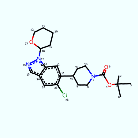 CC(C)(C)OC(=O)N1CCC(c2cc3c(cnn3C3CCCCO3)cc2Cl)CC1